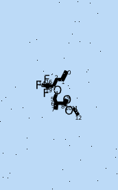 C=CCC(OCC(=C)C(=O)OCC)C(F)(F)F